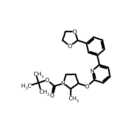 CC1C(Oc2cccc(-c3cccc(C4OCCO4)c3)n2)CCN1C(=O)OC(C)(C)C